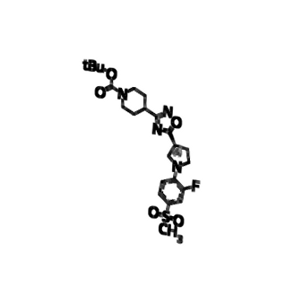 CC(C)(C)OC(=O)N1CCC(c2noc([C@H]3CCN(c4ccc(S(C)(=O)=O)cc4F)C3)n2)CC1